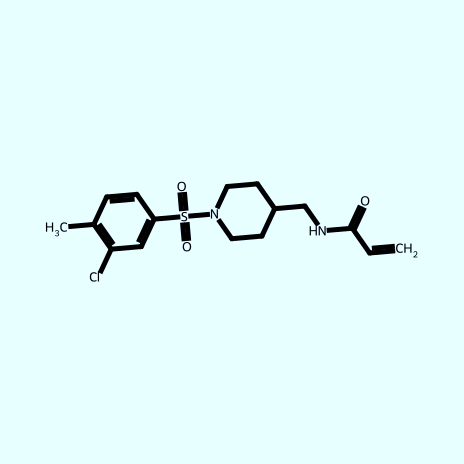 C=CC(=O)NCC1CCN(S(=O)(=O)c2ccc(C)c(Cl)c2)CC1